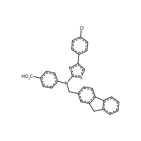 O=C(O)c1ccc(N(Cc2ccc3c(c2)Cc2ccccc2-3)c2nc(-c3ccc(Cl)cc3)cs2)cc1